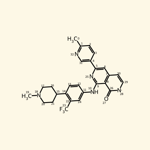 Cc1ccc(-c2cc3c(c(Nc4ccc(C5CCN(C)CC5)c(C(F)(F)F)c4)n2)C(=O)[N]C=C3)cn1